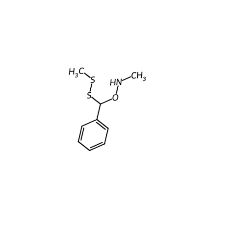 CNOC(SSC)c1ccccc1